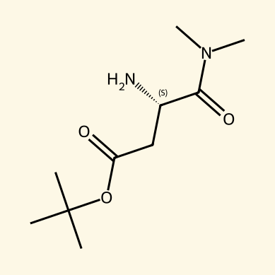 CN(C)C(=O)[C@@H](N)CC(=O)OC(C)(C)C